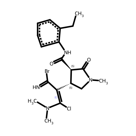 CCc1ccccc1NC(=O)[C@H]1C(=O)N(C)C[C@@H]1/C(C(=N)Br)=C(\Cl)N(C)C